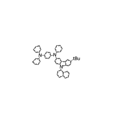 CC(C)(C)c1ccc2c(c1)c1cc(N(c3ccccc3)c3ccc(N(c4ccccc4)c4ccccc4)cc3)ccc1n2-c1cccc2ccccc12